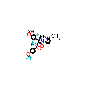 CCc1cccc(-n2c(=O)c(NC(=O)c3ccc(OC(F)F)cc3)c(-c3c(F)cc(OC)cc3F)n2C)n1